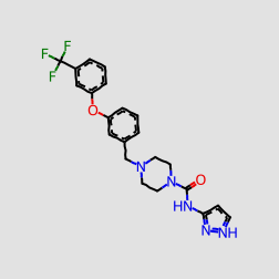 O=C(Nc1cc[nH]n1)N1CCN(Cc2cccc(Oc3cccc(C(F)(F)F)c3)c2)CC1